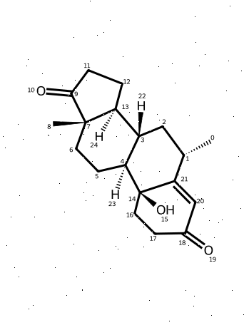 C[C@H]1C[C@@H]2[C@H](CC[C@]3(C)C(=O)CC[C@@H]23)[C@@]2(O)CCC(=O)C=C12